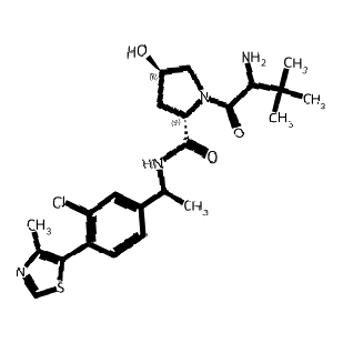 Cc1ncsc1-c1ccc(C(C)NC(=O)[C@@H]2C[C@@H](O)CN2C(=O)C(N)C(C)(C)C)cc1Cl